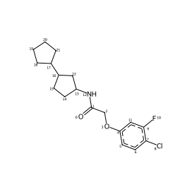 O=C(COc1ccc(Cl)c(F)c1)NC1CCC(C2CCCC2)C1